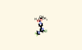 CC(C)(C)OC(=O)N1CC=C(c2cc(N3CC(F)(F)C3)cc(Cl)n2)CC1